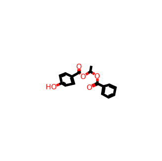 CC(OC(=O)c1ccccc1)OC(=O)c1ccc(O)cc1